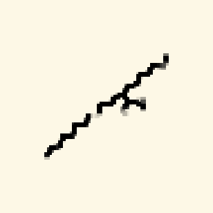 CCCCCCCCCCCCC(CCCCCCC)C(=O)OC